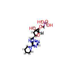 O=P(O)(O)COC1[C@H]2O[C@@H](c3cnc4c(N5CCCCC5)ncnn34)C[C@@]12O